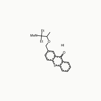 CCC(CC)(NC)C(C)OCc1ccc2sc3ccccc3c(=O)c2c1.I